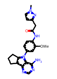 COc1cc(-n2c3c(c4ncnc(N)c42)CCC3)ccc1NC(=O)Cc1ccn(C)n1